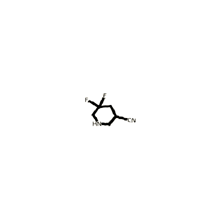 N#CC1CNCC(F)(F)C1